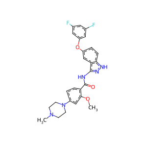 COc1cc(N2CCN(C)CC2)ccc1C(=O)Nc1n[nH]c2ccc(Oc3cc(F)cc(F)c3)cc12